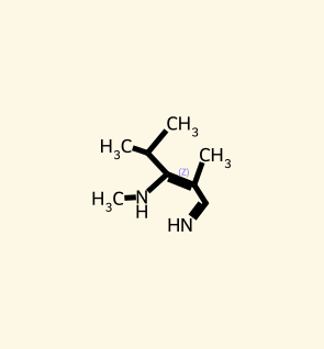 CN/C(=C(/C)C=N)C(C)C